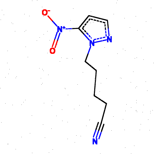 N#CCCCCn1nccc1[N+](=O)[O-]